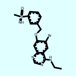 CCNc1ncnc2cc(OCc3cccc(S(C)(=N)=O)c3)c(Br)cc12